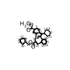 COC(=O)c1ccc2c(C3CCCCC3)c3n(c2c1)CC(C(=O)OCc1ccccc1)=Cc1ccccc1-3